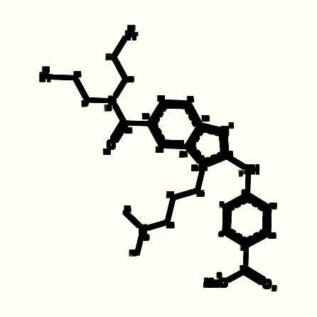 COC(=O)c1ccc(Nc2nc3ccc(C(=O)N(CCC(C)C)CCC(C)C)cc3n2CCCN(C)C)cc1